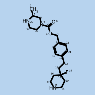 C[C@H]1CN(C(=O)OCc2ccc(CCC3(F)CCNCC3)cc2)CCN1